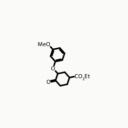 CCOC(=O)C1CCC(=O)C(Oc2cccc(OC)c2)C1